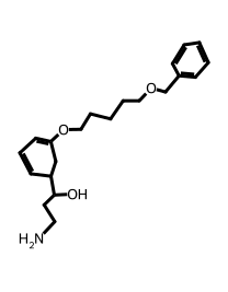 NCCC(O)C1C=CC=C(OCCCCCOCc2ccccc2)C1